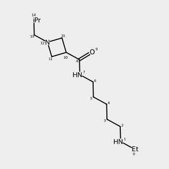 CCNCCCCCNC(=O)C1CN(CC(C)C)C1